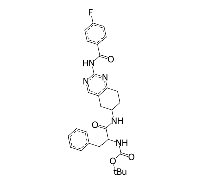 CC(C)(C)OC(=O)NC(Cc1ccccc1)C(=O)NC1CCc2nc(NC(=O)c3ccc(F)cc3)ncc2C1